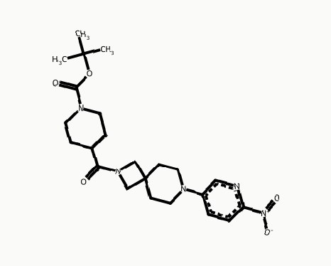 CC(C)(C)OC(=O)N1CCC(C(=O)N2CC3(CCN(c4ccc([N+](=O)[O-])nc4)CC3)C2)CC1